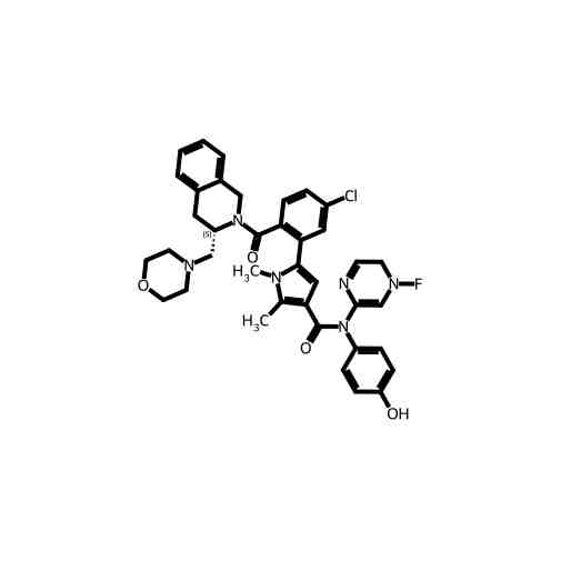 Cc1c(C(=O)N(C2=CN(F)CC=N2)c2ccc(O)cc2)cc(-c2cc(Cl)ccc2C(=O)N2Cc3ccccc3C[C@H]2CN2CCOCC2)n1C